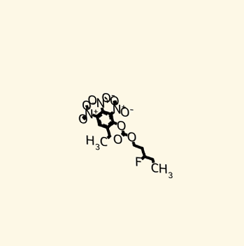 CCc1cc([N+](=O)[O-])c([N+](=O)[O-])c([N+](=O)[O-])c1OC(=O)OCCC(F)CC